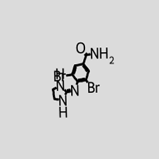 NC(=O)c1cc(Br)c(N=C2NCCN2)c(Br)c1